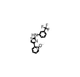 [O-][n+]1ccccc1-c1csc(Nc2cccc(C(F)(F)F)c2)n1